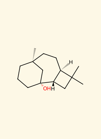 CC1(C)C[C@H]2[C@H]1CC[C@]1(C)CCC[C@@]2(O)C1